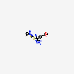 Cc1cccc(Nc2nc(CSc3nc(N)c(C#N)c(-c4ccc(CCC5COC(C)(C)O5)cc4)c3C#N)cs2)c1